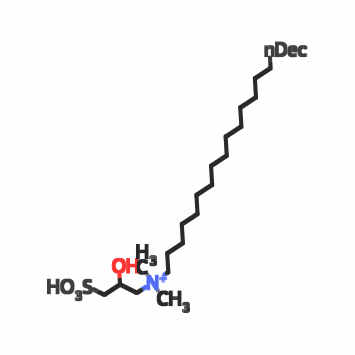 CCCCCCCCCCCCCCCCCCCCCCCCC[N+](C)(C)CC(O)CS(=O)(=O)O